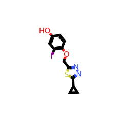 Oc1ccc(OCc2nnc(C3CC3)s2)c(I)c1